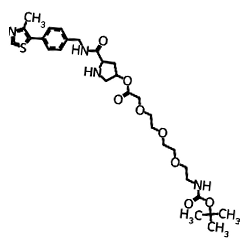 Cc1ncsc1-c1ccc(CNC(=O)C2CC(OC(=O)COCCOCCOCCNC(=O)OC(C)(C)C)CN2)cc1